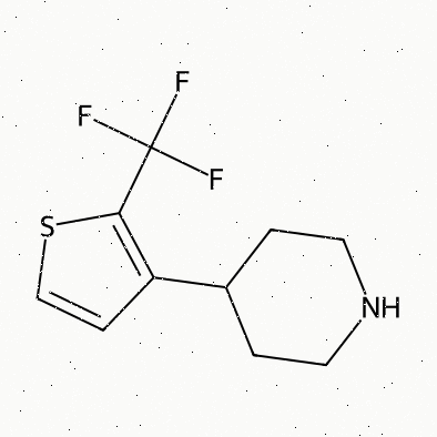 FC(F)(F)c1sccc1C1CCNCC1